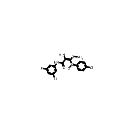 NS/C(=C(\N)C(=O)Nc1cc(F)cc(Cl)c1)[S+]([O-])c1ccc(Cl)cc1